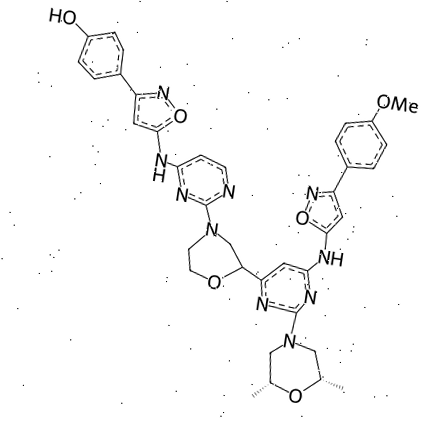 COc1ccc(-c2cc(Nc3cc(C4CN(c5nccc(Nc6cc(-c7ccc(O)cc7)no6)n5)CCO4)nc(N4C[C@@H](C)O[C@@H](C)C4)n3)on2)cc1